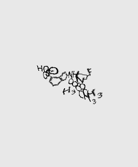 CC(C)(C)OC(=O)N1C[C@H](F)C[C@H]1C(=O)Nc1ccc2c(S(=O)(=O)O)cccc2c1